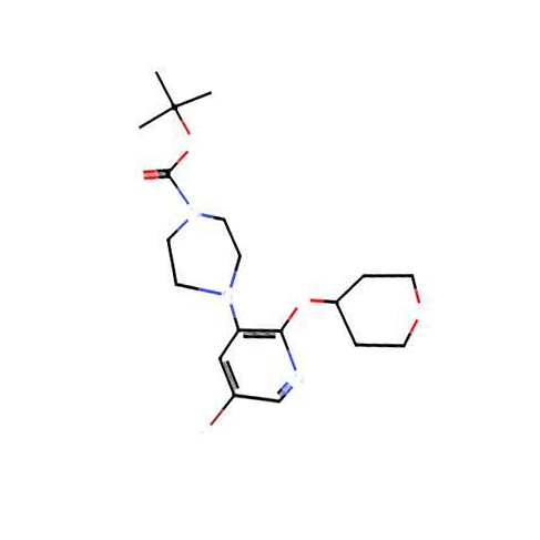 CC(C)(C)OC(=O)N1CCN(c2cc(Br)cnc2OC2CCOCC2)CC1